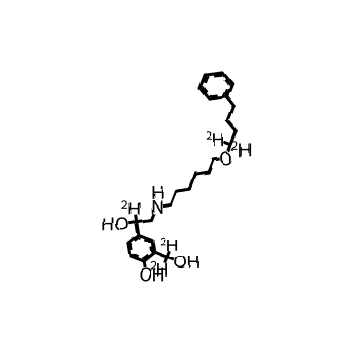 [2H]C([2H])(CCCc1ccccc1)OCCCCCCNCC([2H])(O)c1ccc(O)c(C([2H])([2H])O)c1